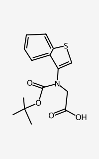 CC(C)(C)OC(=O)N(CC(=O)O)c1csc2ccccc12